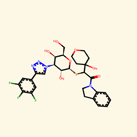 O=C(C(S[C@@H]1O[C@H](CO)[C@H](O)[C@H](n2cc(-c3cc(F)c(F)c(F)c3)nn2)[C@H]1O)C1(O)CCOCC1)N1CCc2ccccc21